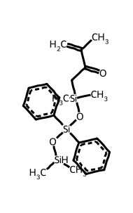 C=C(C)C(=O)C[Si](C)(C)O[Si](O[SiH](C)C)(c1ccccc1)c1ccccc1